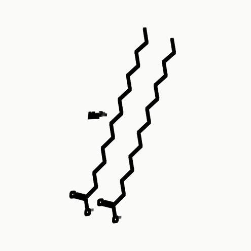 CCCCCCCCCCCCCCC(=O)[O-].CCCCCCCCCCCCCCC(=O)[O-].[Mn+2]